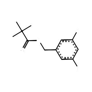 CC(C)(C)C(=O)OCc1cc(F)cc(F)c1